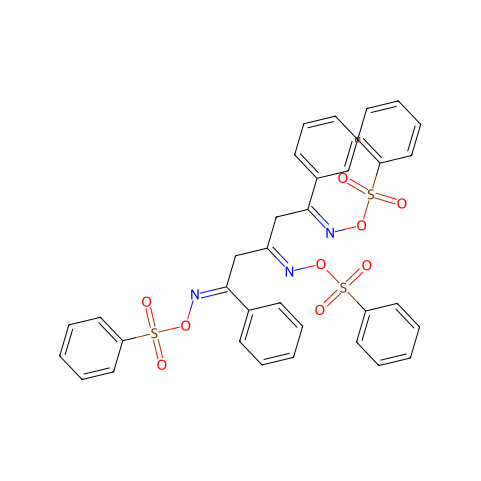 O=S(=O)(ON=C(CC(=NOS(=O)(=O)c1ccccc1)c1ccccc1)CC(=NOS(=O)(=O)c1ccccc1)c1ccccc1)c1ccccc1